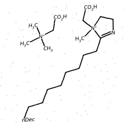 CCCCCCCCCCCCCCCCCCC1=NCC[N+]1(C)CC(=O)O.C[N+](C)(C)CC(=O)O